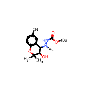 CC(=O)N(NC(=O)OC(C)(C)C)C1c2cc(C#N)ccc2OC(C)(C)C1O